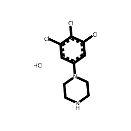 Cl.Clc1cc(N2CCNCC2)cc(Cl)c1Cl